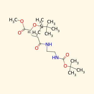 COC(=O)[C@@H](CCC(=O)NCCNC(=O)OC(C)(C)C)O[Si](C)(C)C(C)(C)C